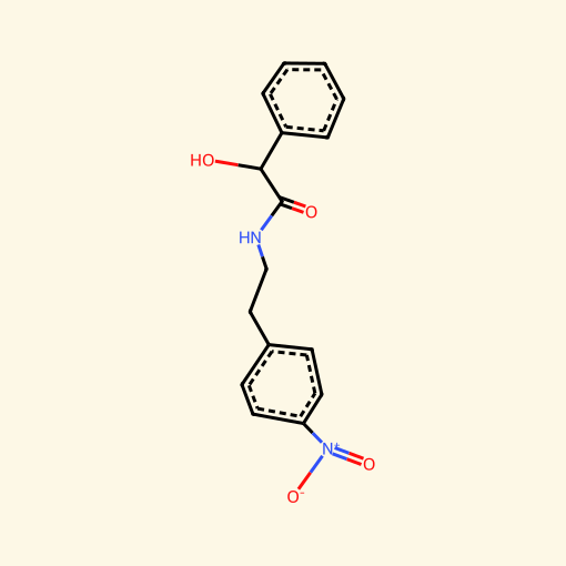 O=C(NCCc1ccc([N+](=O)[O-])cc1)C(O)c1ccccc1